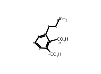 O=C(O)c1cccc(C[CH2][InH2])c1C(=O)O